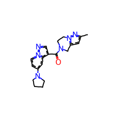 Cc1cc2n(n1)CCN(C(=O)c1cnn3ccc(N4CCCC4)cc13)C2